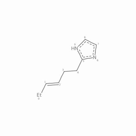 [CH2]CC=CCCc1ncc[nH]1